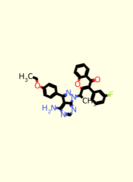 CCOc1ccc(-c2nn(C(C)c3oc4ccccc4c(=O)c3-c3cccc(F)c3)c3ncnc(N)c23)cc1